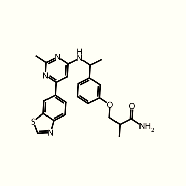 Cc1nc(NC(C)c2cccc(OCC(C)C(N)=O)c2)cc(-c2ccc3ncsc3c2)n1